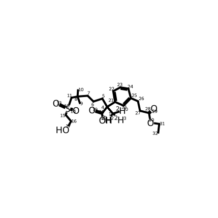 [2H]C([2H])([2H])C(CCCC(C)(C)CS(=O)(=O)CCO)(C(=O)O)c1cccc(CCC(=O)OCC)c1